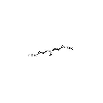 CCCCCCCCCCOCCNCCOCCCCCCCCCC